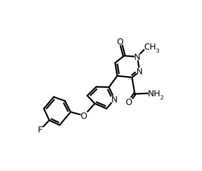 Cn1nc(C(N)=O)c(-c2ccc(Oc3cccc(F)c3)cn2)cc1=O